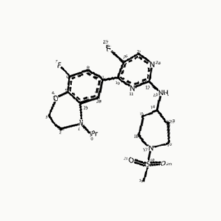 CC(C)N1CCOc2c(F)cc(-c3nc(NC4CCN(S(C)(=O)=O)CC4)ncc3F)cc21